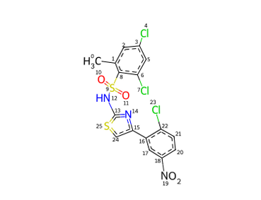 Cc1cc(Cl)cc(Cl)c1S(=O)(=O)Nc1nc(-c2cc([N+](=O)[O-])ccc2Cl)cs1